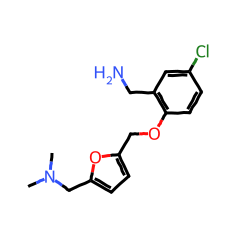 CN(C)Cc1ccc(COc2ccc(Cl)cc2CN)o1